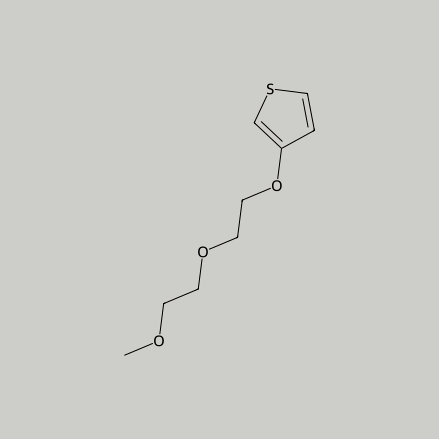 COCCOCCOc1ccsc1